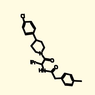 Cc1ccc(CC(=O)NC(C(=O)N2CCC(c3ccc(Cl)cc3)CC2)C(C)C)cc1